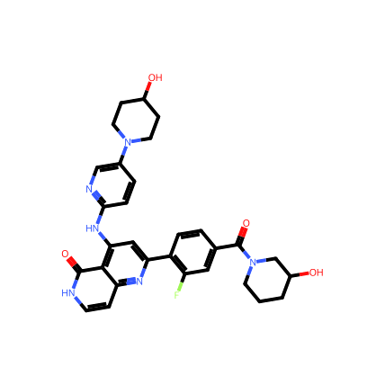 O=C(c1ccc(-c2cc(Nc3ccc(N4CCC(O)CC4)cn3)c3c(=O)[nH]ccc3n2)c(F)c1)N1CCCC(O)C1